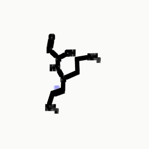 N/C=C/N(CCN)NN(O)N=O